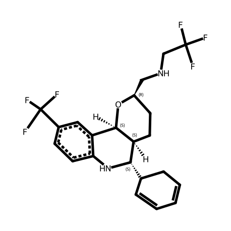 FC(F)(F)CNC[C@H]1CC[C@@H]2[C@H](O1)c1cc(C(F)(F)F)ccc1N[C@H]2C1C=CC=CC1